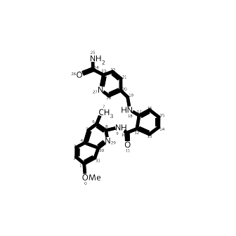 COc1ccc2cc(C)c(NC(=O)c3ccccc3NCc3ccc(C(N)=O)nc3)nc2c1